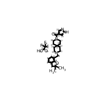 CC1(C)Cc2cccc(CN3CCC4(CC3)CCN(C(=O)c3cn[nH]c3)CC4)c2O1.O=C(O)C(F)(F)F